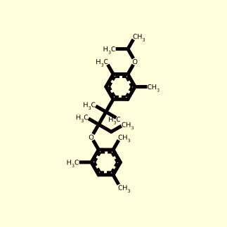 CCC(C)(Oc1c(C)cc(C)cc1C)C(C)(C)c1cc(C)c(OC(C)C)c(C)c1